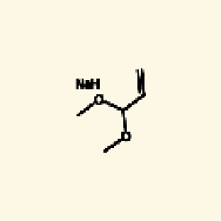 C=CC(OC)OC.[NaH]